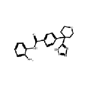 Nc1ccccc1NC(=O)c1ccc(C2(c3nnn[nH]3)CCOCC2)cc1